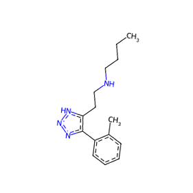 CCCCNCCc1[nH]nnc1-c1ccccc1C